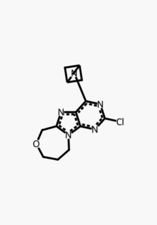 Clc1nc(N2CC3CC2C3)c2nc3n(c2n1)CCCOC3